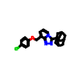 Clc1ccc(OCc2cccn3c(C45CC6CC(CC(C6)C4)C5)nnc23)cc1